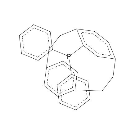 c1ccc(P(c2ccccc2)c2cc3ccc2CCc2ccc(cc2)CC3)cc1